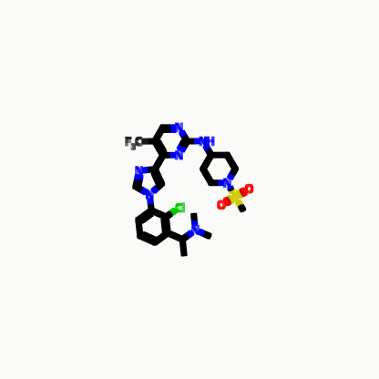 CC(c1cccc(-n2cnc(-c3nc(NC4CCN(S(C)(=O)=O)CC4)ncc3C(F)(F)F)c2)c1Cl)N(C)C